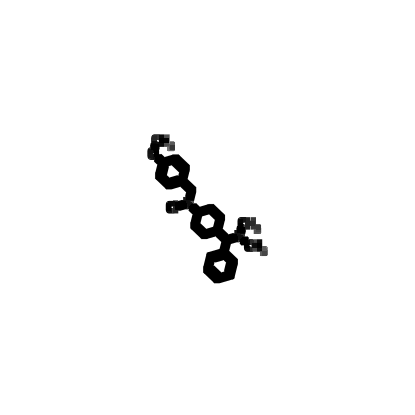 COc1ccc(CN(Cl)C2CCC(C(c3ccccc3)N(C)C)CC2)cc1